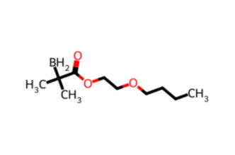 BC(C)(C)C(=O)OCCOCCCC